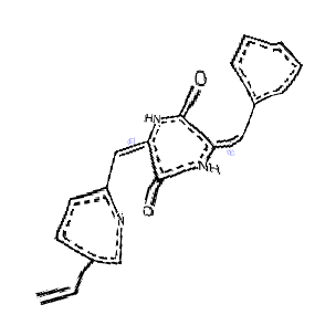 C=Cc1ccc(/C=c2/[nH]c(=O)/c(=C\c3ccccc3)[nH]c2=O)nc1